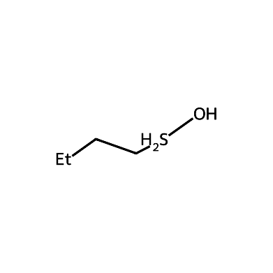 CCCC[SH2]O